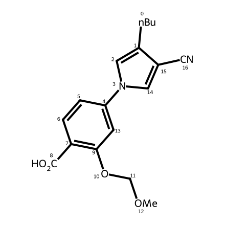 CCCCc1cn(-c2ccc(C(=O)O)c(OCOC)c2)cc1C#N